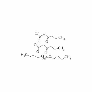 CCCC(=O)CC(=O)[O-].CCCC(=O)CC(=O)[O-].CCCC[O][Al+2][O]CCCC